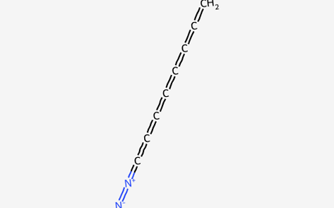 C=C=C=C=C=C=C=C=[N+]=[N-]